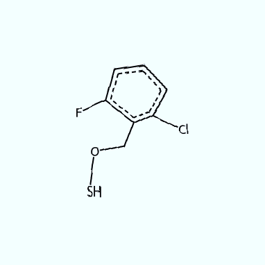 Fc1cccc(Cl)c1COS